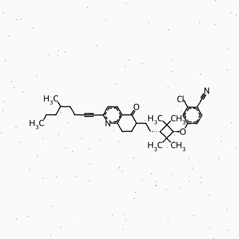 CCCC(C)CCC#Cc1ccc2c(n1)CCC(CC[C@H]1C(C)(C)[C@H](Oc3ccc(C#N)c(Cl)c3)C1(C)C)C2=O